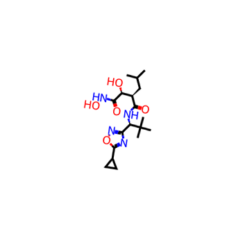 CC(C)C[C@@H](C(=O)N[C@H](c1noc(C2CC2)n1)C(C)(C)C)[C@H](O)C(=O)NO